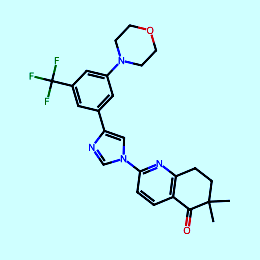 CC1(C)CCc2nc(-n3cnc(-c4cc(N5CCOCC5)cc(C(F)(F)F)c4)c3)ccc2C1=O